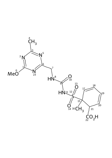 COc1nc(C)nc(CNC(=O)NS(=O)(=O)C2(C)C=CC=CC2C(=O)O)n1